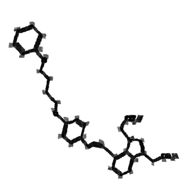 O=C(O)Cc1cn(CC(=O)O)c2c(C=Cc3ccc(OCCCCOc4ccccc4)cc3)cccc12